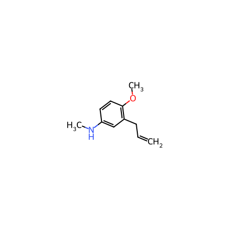 C=CCc1cc(NC)ccc1OC